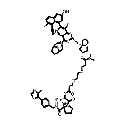 C#Cc1c(F)ccc2cc(O)cc(-c3ncc4c(N5CC6CCC(C5)N6)nc(OC[C@]56CCCN5[C@H](CN(C)C(=O)CCOCCOCCC(=O)N[C@H](C(=O)N5CCC[C@@]5([SiH3])C(=O)NCc5ccc(-c7scnc7C)cc5)C(C)(C)C)CC6)nc4c3F)c12